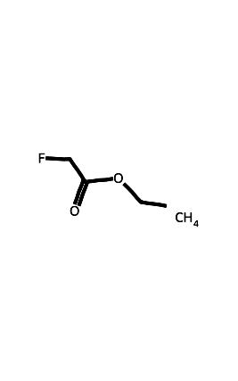 C.CCOC(=O)CF